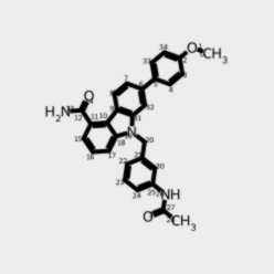 COc1ccc(-c2c[c]c3c4c(C(N)=O)cccc4n(Cc4cccc(NC(C)=O)c4)c3c2)cc1